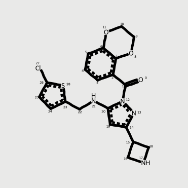 O=C(c1cccc2c1OCCO2)n1nc(C2CNC2)cc1NCc1ccc(Cl)s1